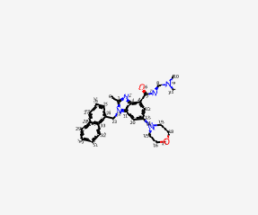 Cc1nc2c(C(=O)N=CN(C)C)cc(N3CCOCC3)cc2n1Cc1cccc2ccccc12